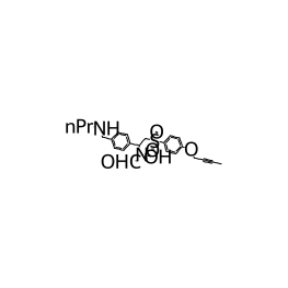 CC#CCOc1ccc(S(=O)(=O)CC(c2ccc(CNCCC)cc2)N(O)C=O)cc1